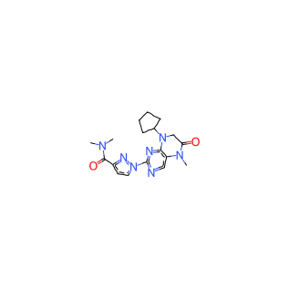 CN(C)C(=O)c1ccn(-c2ncc3c(n2)N(C2CCCC2)CC(=O)N3C)n1